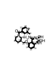 Cc1cc(C(=O)N2CCC[C@H](COc3cccc4c3C(N)=NS(O)(O)N4)C2)ccn1